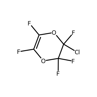 FC1=C(F)OC(F)(Cl)C(F)(F)O1